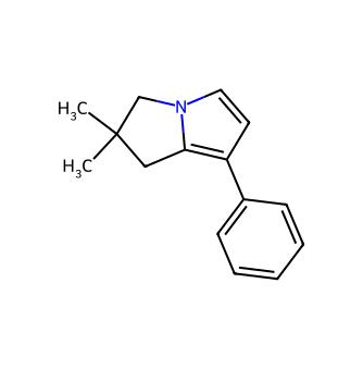 CC1(C)Cc2c(-c3ccccc3)ccn2C1